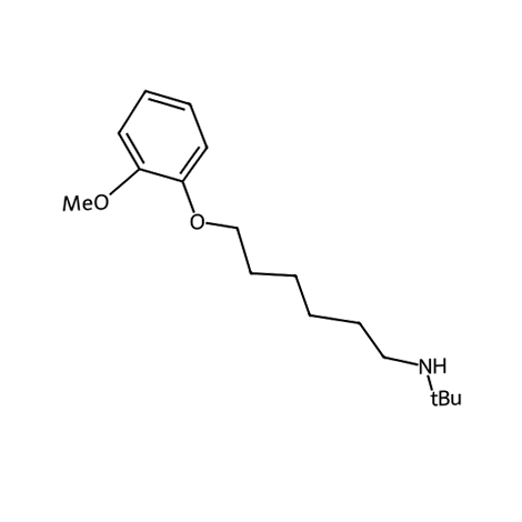 COc1ccccc1OCCCCCCNC(C)(C)C